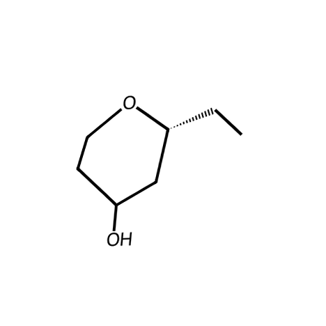 CC[C@@H]1CC(O)CCO1